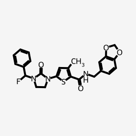 Cc1cc(N2CCN(C(F)c3ccccc3)C2=O)sc1C(=O)NCc1ccc2c(c1)OCO2